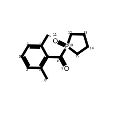 Cc1cccc(C)c1C(=O)P1(=O)CCCC1